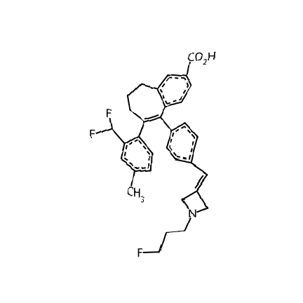 Cc1ccc(C2=C(c3ccc(C=C4CN(CCCF)C4)cc3)c3ccc(C(=O)O)cc3CCC2)c(C(F)F)c1